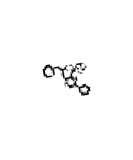 CCOC(=O)[C@H](Cc1ccccc1)Nc1ncc(-c2ccccc2)nc1CC1CCCO1